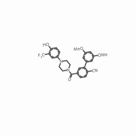 COc1cc(OC)cc(-c2cc(C(=O)N3CCN(c4ccc(O)c(C(F)(F)F)c4)CC3)ccc2C#N)c1